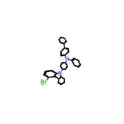 Brc1cccc2c1c1ccccc1n2-c1ccc(N(c2ccccc2)c2ccc(-c3ccccc3)cc2)cc1